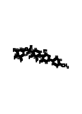 Cc1ccc(-c2cc(F)c(-c3ccc(C(F)(F)Oc4cc(F)c(F)c(F)c4)c(F)c3F)c(F)c2)cc1